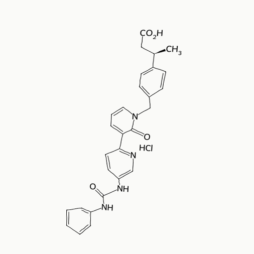 C[C@H](CC(=O)O)c1ccc(Cn2cccc(-c3ccc(NC(=O)Nc4ccccc4)cn3)c2=O)cc1.Cl